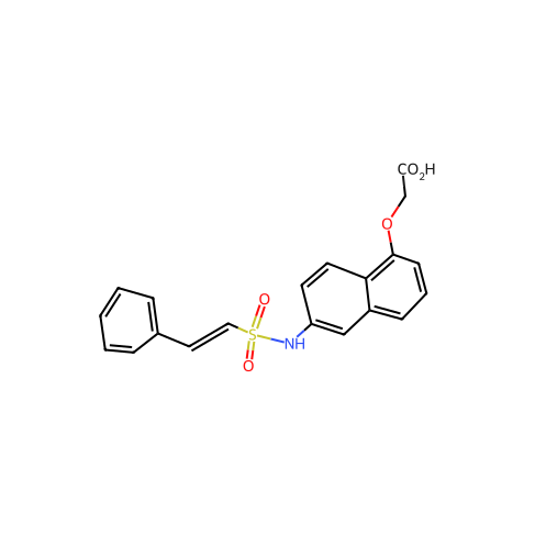 O=C(O)COc1cccc2cc(NS(=O)(=O)/C=C/c3ccccc3)ccc12